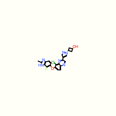 Cc1nc2ccc(Oc3ccc4ncc(-c5cnn([C@H]6C[C@@H](O)C6)c5)nc4c3Cl)c(F)c2[nH]1